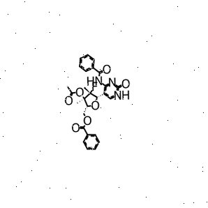 CC(=O)O[C@]1(C)[C@@H](COC(=O)c2ccccc2)O[C@@H](c2c[nH]c(=O)nc2NC(=O)c2ccccc2)[C@@]1(C)F